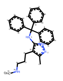 Cc1n[nH]c(NC(c2ccccc2)(c2ccccc2)c2ccccc2)c1CCCNC=O